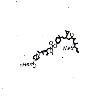 C=CCC(SC)/C(C)=C/C(C)C(=O)CC(CCC1(C)CCC(OC(=O)NC/C(C=C)=C/N=C(\C)N2CCN(C(=O)CCCCCC)CC2)CC1)C1CC1